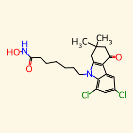 CC1(C)CC(=O)c2c(n(CCCCCCC(=O)NO)c3c(Cl)cc(Cl)cc23)C1